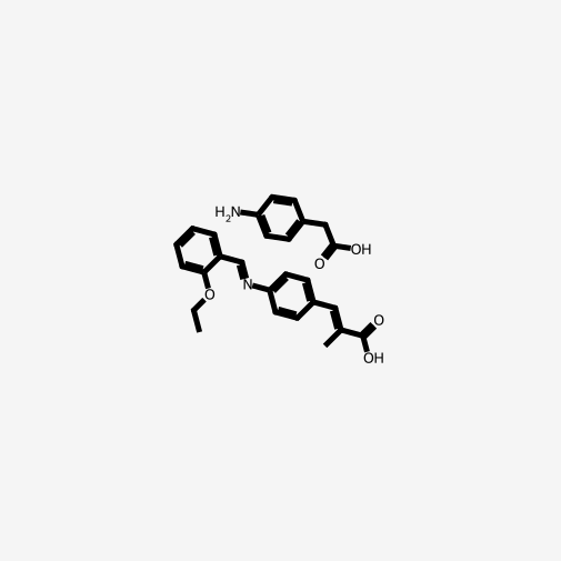 CCOc1ccccc1/C=N/c1ccc(/C=C(\C)C(=O)O)cc1.Nc1ccc(CC(=O)O)cc1